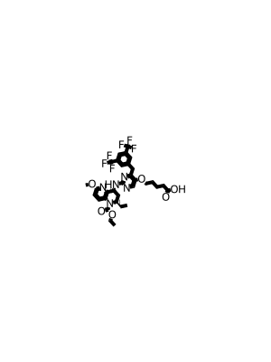 CCOC(=O)N1c2ccc(OC)nc2[C@@H](Nc2ncc(OCCCCC(=O)O)c(Cc3cc(C(F)(F)F)cc(C(F)(F)F)c3)n2)C[C@H]1CC